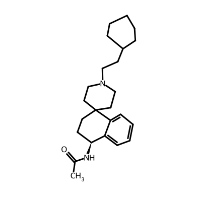 CC(=O)N[C@H]1CCC2(CCN(CCC3CCCCC3)CC2)c2ccccc21